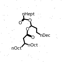 CCCCCCCCCCCCC(OC(=O)CCCCCCC)OC(=O)CC(CCCCCCCC)CCCCCCCC